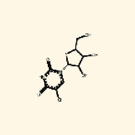 O=c1[nH]c(=O)n([C@@H]2S[C@@H](CO)C(O)C2O)cc1Cl